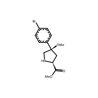 COC(=O)[C@@H]1C[C@@](OC)(c2ccc(Br)cc2)CN1